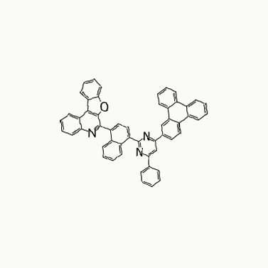 c1ccc(-c2cc(-c3ccc4c5ccccc5c5ccccc5c4c3)nc(-c3ccc(-c4nc5ccccc5c5c4oc4ccccc45)c4ccccc34)n2)cc1